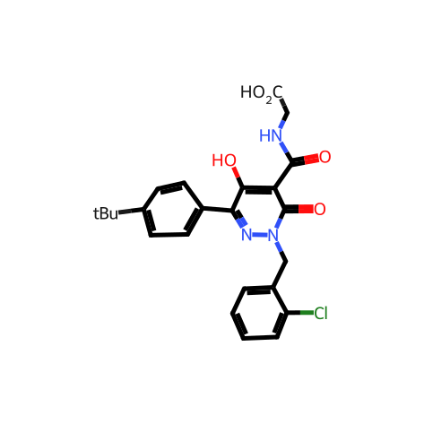 CC(C)(C)c1ccc(-c2nn(Cc3ccccc3Cl)c(=O)c(C(=O)NCC(=O)O)c2O)cc1